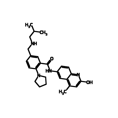 Cc1cc(O)nc2ccc(NC(=O)c3cc(CNCC(C)C)ccc3N3CCCC3)cc12